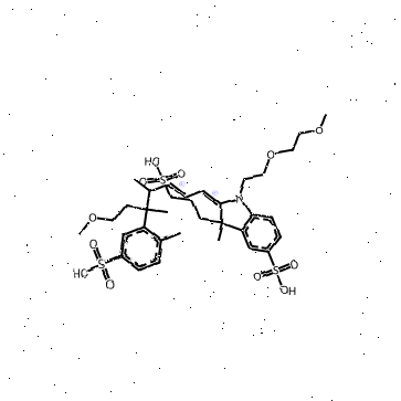 COCCOCCN1/C(=C/C=C/C(C)C(C)(CCOC)c2cc(S(=O)(=O)O)ccc2C)C(C)(CCCS(=O)(=O)O)c2cc(S(=O)(=O)O)ccc21